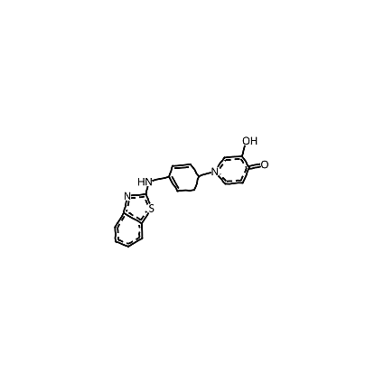 O=c1ccn(C2C=CC(Nc3nc4ccccc4s3)=CC2)cc1O